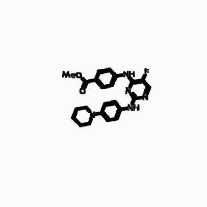 COC(=O)c1ccc(Nc2nc(Nc3ccc(N4CCCCC4)cc3)ncc2F)cc1